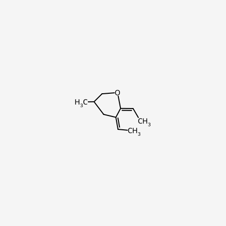 C/C=C1/CC(C)CO/C1=C/C